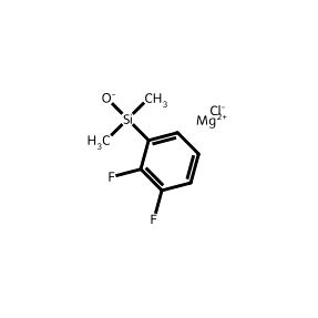 C[Si](C)([O-])c1cccc(F)c1F.[Cl-].[Mg+2]